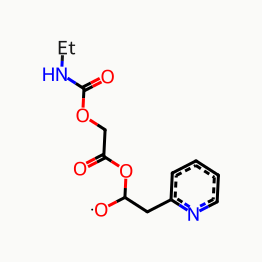 CCNC(=O)OCC(=O)OC([O])Cc1ccccn1